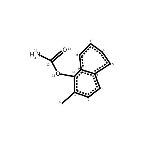 Cc1ccc2ccccc2c1OC(N)=O